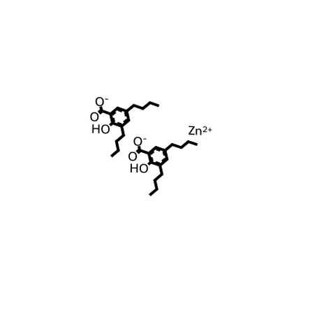 CCCCc1cc(CCCC)c(O)c(C(=O)[O-])c1.CCCCc1cc(CCCC)c(O)c(C(=O)[O-])c1.[Zn+2]